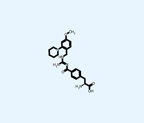 COc1ccc(CN/C(N)=N/C(=O)c2ccc(C[C@H](N)C(=O)O)cc2)c(N2CCCCC2)c1